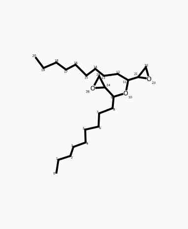 CCCCCCCCCC(OC(CCCCCCCCC)C1CO1)C1CO1